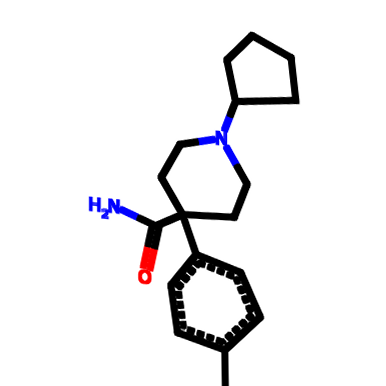 Cc1ccc(C2(C(N)=O)CCN(C3CCCC3)CC2)cc1